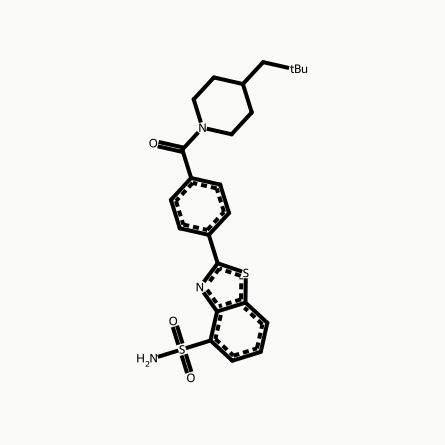 CC(C)(C)CC1CCN(C(=O)c2ccc(-c3nc4c(S(N)(=O)=O)cccc4s3)cc2)CC1